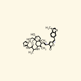 C=C1C(NC(C)C(=O)NC2=NCC=N2)CC2[C@](C)(CC[C@@H](O)[C@@]2(C)CO)C1/C=C/C1=CC(=C\c2ccc3c(c2)ncn3C)/OC1=O